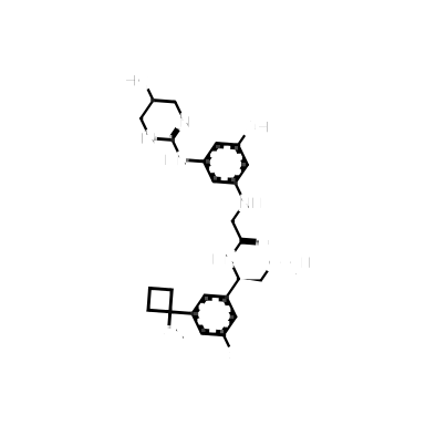 N#CC1(c2cc(Cl)cc([C@H](CC(=O)O)NC(=O)CNc3cc(O)cc(NC4=NCC(O)CN4)c3)c2)CCC1